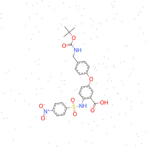 CC(C)(C)OC(=O)NCc1ccc(Oc2ccc(NS(=O)(=O)c3ccc([N+](=O)[O-])cc3)c(C(=O)O)c2)cc1